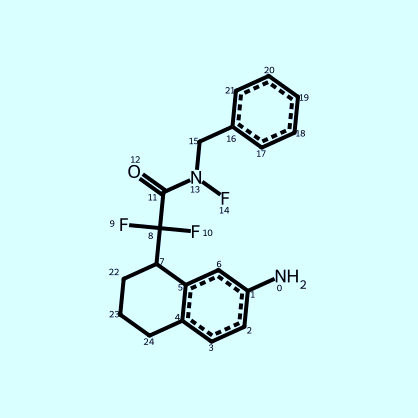 Nc1ccc2c(c1)C(C(F)(F)C(=O)N(F)Cc1ccccc1)CCC2